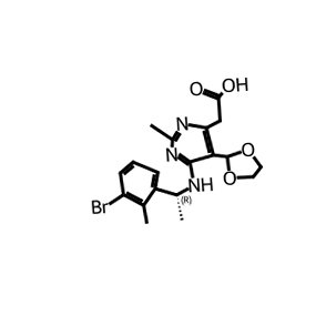 Cc1nc(CC(=O)O)c(C2OCCO2)c(N[C@H](C)c2cccc(Br)c2C)n1